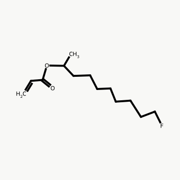 C=CC(=O)OC(C)CCCCCCCCF